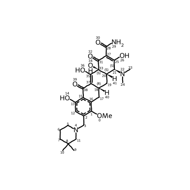 COc1c(CN2CCCC(C)(C)C2)cc(O)c2c1C[C@H]1C[C@H]3[C@H](N(C)C)C(O)=C(C(N)=O)C(=O)[C@@]3(O)C(O)=C1C2=O